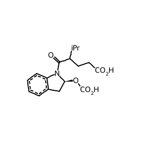 CC(C)C(CCC(=O)O)C(=O)N1c2ccccc2C[C@@H]1OC(=O)O